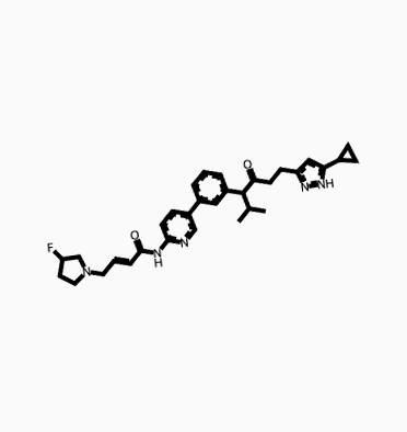 CC(C)C(C(=O)CCc1cc(C2CC2)[nH]n1)c1cccc(-c2ccc(NC(=O)/C=C/CN3CCC(F)C3)nc2)c1